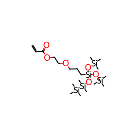 C=CC(=O)OCCOCCC[Si](O[Si](C)(C)C)(O[Si](C)(C)C)O[Si](C)(C)[Si](C)(C)C